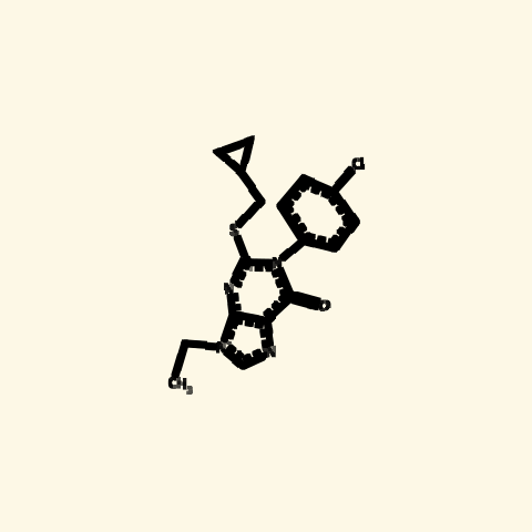 CCn1cnc2c(=O)n(-c3ccc(Cl)cc3)c(SCC3CC3)nc21